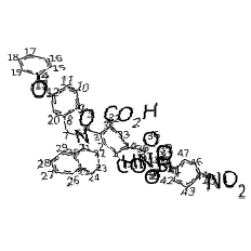 O=C(O)c1cc(C(=O)N(Cc2cccc(Oc3ccccc3)c2)[C@H]2CCCc3ccccc32)c(C(=O)O)cc1C(=O)NS(=O)(=O)c1ccc([N+](=O)[O-])cc1